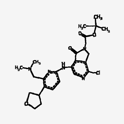 CN(C)Cc1nc(Nc2cnc(Cl)c3c2C(=O)N(C(=O)OC(C)(C)C)C3)ccc1C1CCOC1